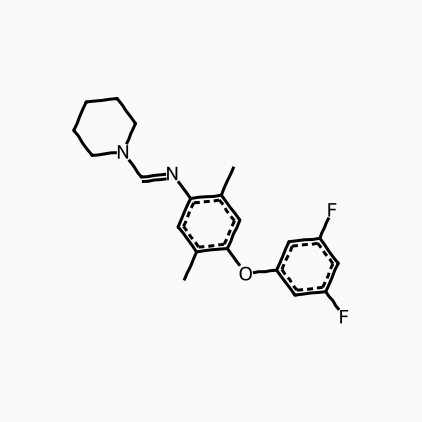 Cc1cc(Oc2cc(F)cc(F)c2)c(C)cc1/N=C/N1CCCCC1